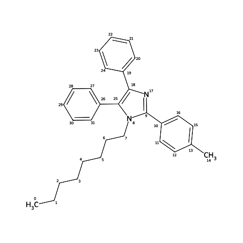 CCCCCCCCn1c(-c2ccc(C)cc2)nc(-c2ccccc2)c1-c1ccccc1